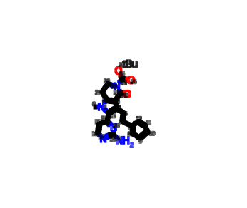 Cn1c2c(c(/C=C/c3ccccc3)c1-c1ccnc(N)n1)C(=O)N(C(=O)OC(C)(C)C)CC2